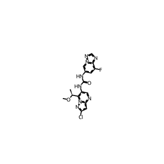 CO[C@@H](C)c1c(NC(=O)Nc2cc(F)c3ncnn3c2)cnc2cc(Cl)nn12